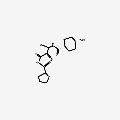 CCC(NC(=O)[C@H]1CC[C@@H](C(C)(C)C)CC1)c1nnc(C2CCCO2)[nH]c1=O